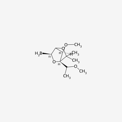 B[C@@H]1O[C@]2(C(C)OC)[C@H](OC)C1OC2(C)C